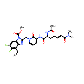 COC(=O)N[C@@H](CC/C=C/C(=O)N(C)C)C(=O)Nc1cccn(Cc2nc3c(CC(C)(C)C)c(F)c(F)cc3n2C(=O)OC(C)(C)C)c1=O